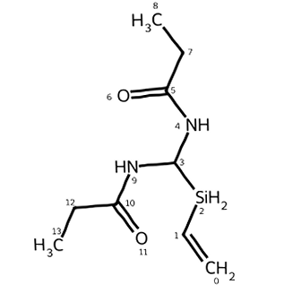 C=C[SiH2]C(NC(=O)CC)NC(=O)CC